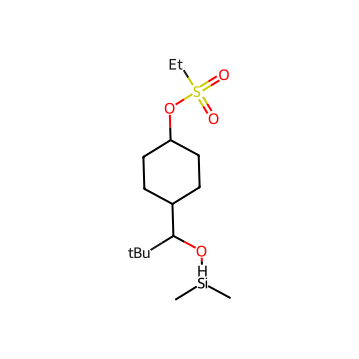 CCS(=O)(=O)OC1CCC(C(O[SiH](C)C)C(C)(C)C)CC1